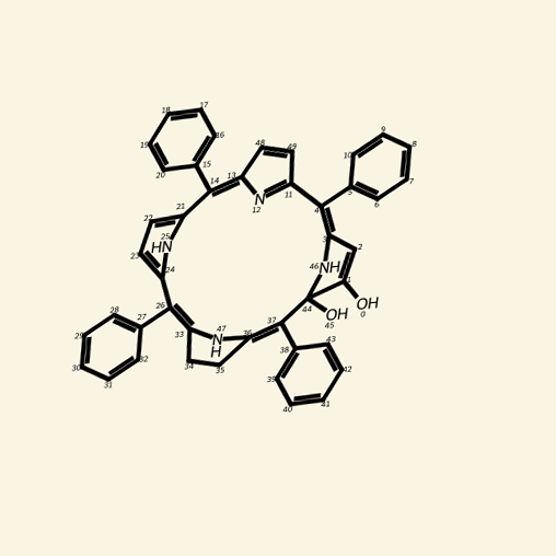 OC1=C/C2=C(\c3ccccc3)C3=N/C(=C(/c4ccccc4)c4ccc([nH]4)/C(c4ccccc4)=C4/CC/C(=C(\c5ccccc5)C1(O)N2)N4)C=C3